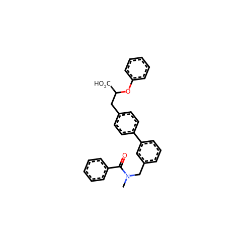 CN(Cc1cccc(-c2ccc(CC(Oc3ccccc3)C(=O)O)cc2)c1)C(=O)c1ccccc1